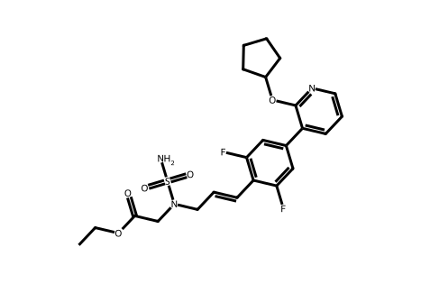 CCOC(=O)CN(C/C=C/c1c(F)cc(-c2cccnc2OC2CCCC2)cc1F)S(N)(=O)=O